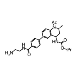 CC(=O)N1c2ccc(-c3ccc(C(=O)NCCN)cc3)cc2C(NC(=O)OC(C)C)C[C@@H]1C